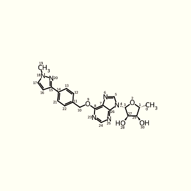 C[C@H]1O[C@@H](n2cnc3c(OCc4ccc(-c5ccn(C)n5)cc4)ncnc32)[C@H](O)[C@@H]1O